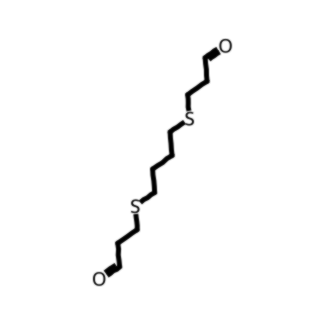 O=CCCSCCCCSCCC=O